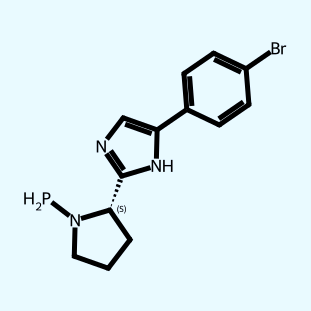 PN1CCC[C@H]1c1ncc(-c2ccc(Br)cc2)[nH]1